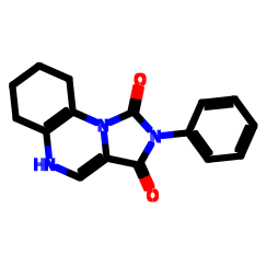 O=c1c2c[nH]c3c(n-2c(=O)n1-c1ccccc1)CCCC3